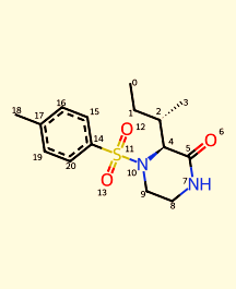 CC[C@H](C)[C@H]1C(=O)NCCN1S(=O)(=O)c1ccc(C)cc1